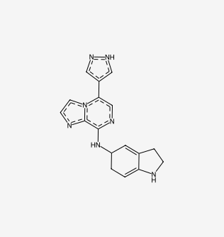 C1=C2CCNC2=CCC1Nc1ncc(-c2cn[nH]c2)n2ccnc12